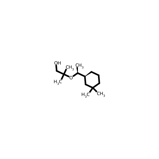 C[C@H](OC(C)(C)CO)[C@H]1CCCC(C)(C)C1